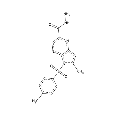 Cc1ccc(S(=O)(=O)n2c(C)cc3nc(C(=O)NN)cnc32)cc1